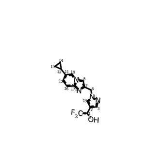 OC(c1cnn(Cc2cn3cc(C4CC4)ccc3n2)c1)C(F)(F)F